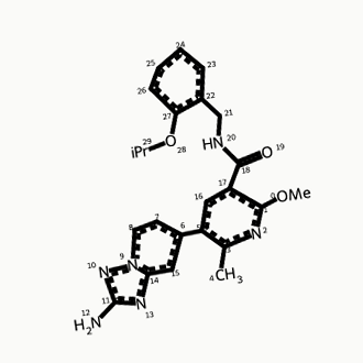 COc1nc(C)c(-c2ccn3nc(N)nc3c2)cc1C(=O)NCc1ccccc1OC(C)C